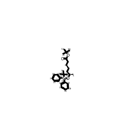 C[C@H](CCCCC(=O)OC(C)(C)C)O[Si](c1ccccc1)(c1ccccc1)C(C)(C)C